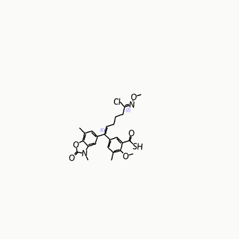 CO/N=C(\Cl)CCC/C=C(\c1cc(C)c(OC)c(C(=O)S)c1)c1cc(C)c2oc(=O)n(C)c2c1